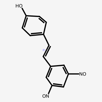 O=Nc1cc(/C=C/c2ccc(O)cc2)cc(N=O)c1